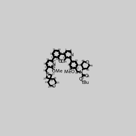 COc1cc(-c2nccc(-c3cccc(-c4ccc(CN5CC6(CCOCC6)C5)c(OC)n4)c3Cl)c2Cl)ccc1CN(C(=O)OC(C)(C)C)C1CCOCC1